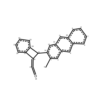 Cc1cc2cc3ccccc3cc2cc1C1C(=C=O)c2ccccc21